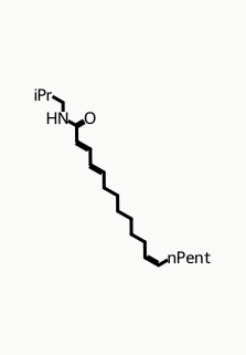 CCCCC/C=C\CCCCCC/C=C/C=C/C(=O)NCC(C)C